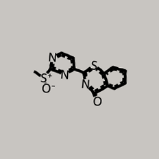 C[S+]([O-])c1nccc(-c2nc(=O)c3ccccc3s2)n1